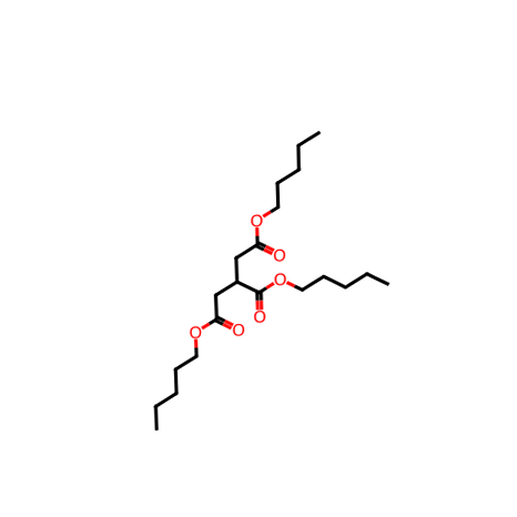 CCCCCOC(=O)CC(CC(=O)OCCCCC)C(=O)OCCCCC